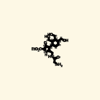 CCOC(=O)c1[nH]c(CNC(=O)CN)c(-c2ccc(CO)c(CO)c2CO)c1Cl